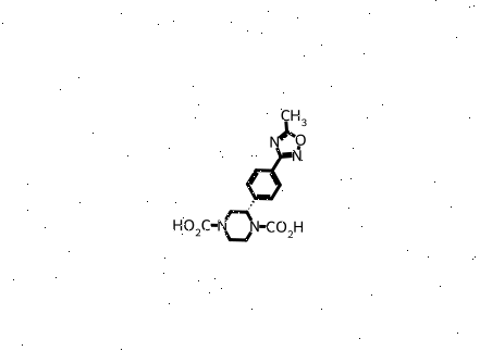 Cc1nc(-c2ccc([C@H]3CN(C(=O)O)CCN3C(=O)O)cc2)no1